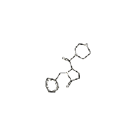 O=C(C1CCC(=O)N1Cc1ccccc1)N1CCOCC1